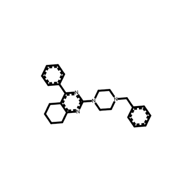 c1ccc(CN2CCN(c3nc4c(c(-c5ccccc5)n3)CCCC4)CC2)cc1